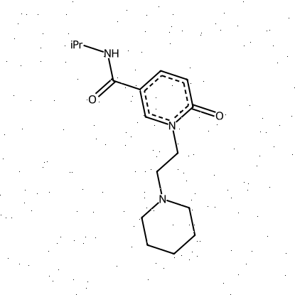 CC(C)NC(=O)c1ccc(=O)n(CCN2CCCCC2)c1